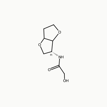 O=C(CO)N[C@@H]1COC2CCOC21